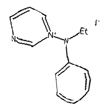 CCN(c1ccccc1)[n+]1cccnc1.[I-]